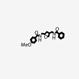 COc1ccc(C(=O)NCC2CC(CNC(=O)c3ccccc3)CO2)cc1